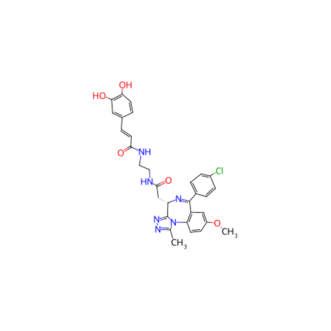 COc1ccc2c(c1)C(c1ccc(Cl)cc1)=N[C@@H](CC(=O)NCCNC(=O)C=Cc1ccc(O)c(O)c1)c1nnc(C)n1-2